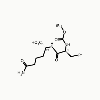 CC(C)C[C@H](NC(=O)OC(C)(C)C)C(=O)N[C@H](CCCC(N)=O)C(=O)O